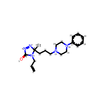 C=CCN1C(=O)N=NC1(CC)CCCN1CCN(c2ccccc2)CC1